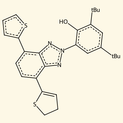 CC(C)(C)c1cc(-n2nc3c(C4=CCCS4)ccc(-c4cccs4)c3n2)c(O)c(C(C)(C)C)c1